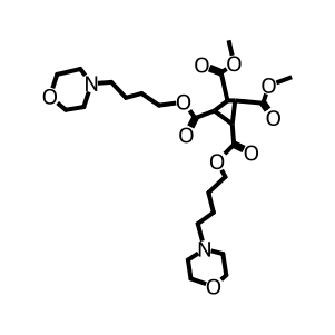 COC(=O)C1C(C(=O)OC)C(C(=O)OCCCCN2CCOCC2)C1C(=O)OCCCCN1CCOCC1